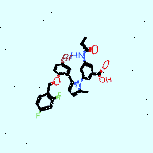 CCC(=O)Nc1cc(C(=O)O)cc(-n2c(C)ccc2-c2cc(Br)ccc2OCc2ccc(F)cc2F)c1